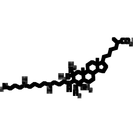 BC1(B)CC2(C)C3CCC4(C)C(CCCCC(C)C(=O)O)CCC4C3CCC2C(B)(B)C1NCCCNCCCCNCCCN